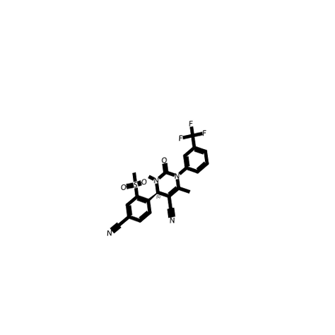 CC1=C(C#N)[C@@H](c2ccc(C#N)cc2S(C)(=O)=O)N(C)C(=O)N1c1cccc(C(F)(F)F)c1